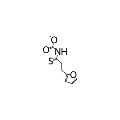 COC(=O)NC(=S)CCc1ccco1